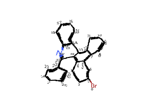 Brc1ccc2c(c1)c1ccccc1c1c3ccccc3nc(-c3ccccc3)c21